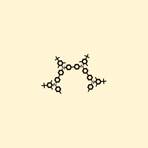 Cc1ccc(N(c2ccc(-c3ccc(N(c4ccc(-c5ccc(N(c6ccc(-c7ccc(N(c8ccc(C)cc8)c8c(C)cc(C(C)(C)C)cc8C)cc7)cc6)c6c(C)cc(C(C)(C)C)cc6C)cc5)cc4)c4c(C)cc(C(C)(C)C)cc4C)cc3)cc2)c2c(C)cc(C(C)(C)C)cc2C)cc1